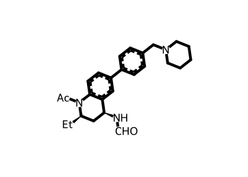 CC[C@@H]1C[C@H](NC=O)c2cc(-c3ccc(CN4CCCCC4)cc3)ccc2N1C(C)=O